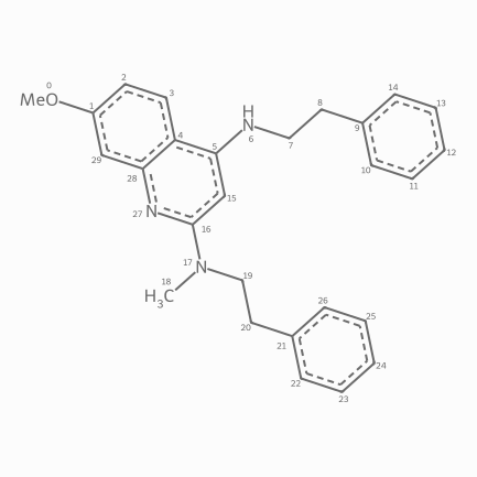 COc1ccc2c(NCCc3ccccc3)cc(N(C)CCc3ccccc3)nc2c1